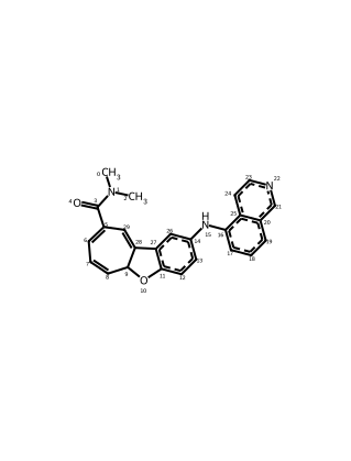 CN(C)C(=O)C1=CC=CC2Oc3ccc(Nc4cccc5cnccc45)cc3C2=C1